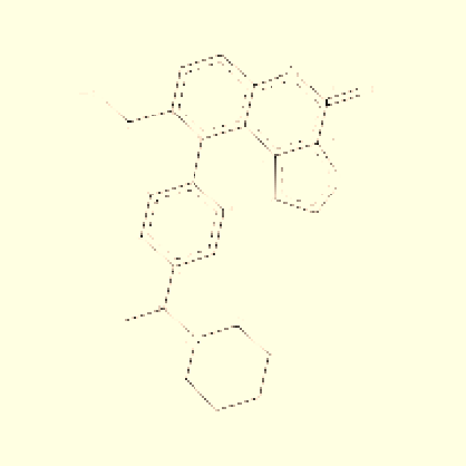 CC(c1ccc(-c2c(CO)ccc3[nH]c(=O)c4sccc4c23)cc1)N1CCCCC1